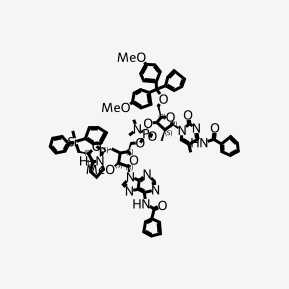 COc1ccc(C(OC[C@H]2O[C@@H](n3cc(C)c(NC(=O)c4ccccc4)nc3=O)[C@@H](C)C2OP(=O)(OC[C@H]2O[C@@H](n3cnc4c(NC(=O)c5ccccc5)ncnc43)[C@@H](OC)C2C[P@@]2O[C@H](C[Si](C)(c3ccccc3)c3ccccc3)[C@@H]3CCCN32)N(C)C)(c2ccccc2)c2ccc(OC)cc2)cc1